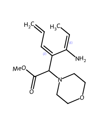 C=C/C=C(\C(N)=C/C)C(C(=O)OC)N1CCOCC1